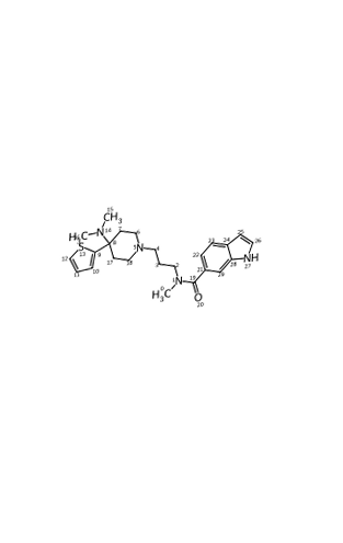 CN(CCCN1CCC(c2cccs2)(N(C)C)CC1)C(=O)c1ccc2cc[nH]c2c1